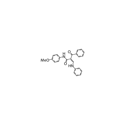 COc1ccc(NC(=O)/C(=C\Nc2ccccc2)C(=O)c2ccccc2)cc1